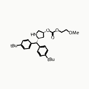 COCCOC(=O)O[C@H]1CN[C@@H](C(c2ccc(C(C)(C)C)cc2)c2ccc(C(C)(C)C)cc2)C1